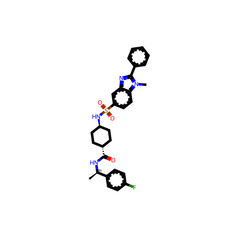 C[C@@H](NC(=O)[C@H]1CC[C@H](NS(=O)(=O)c2ccc3c(c2)nc(-c2ccccc2)n3C)CC1)c1ccc(F)cc1